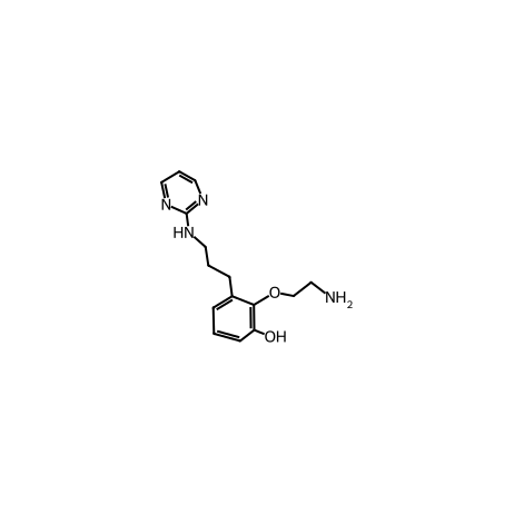 NCCOc1c(O)cccc1CCCNc1ncccn1